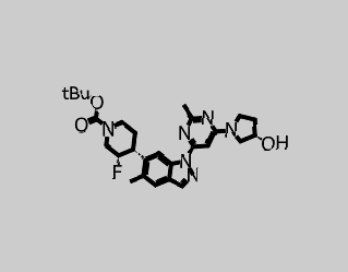 Cc1nc(N2CC[C@H](O)C2)cc(-n2ncc3cc(C)c([C@H]4CCN(C(=O)OC(C)(C)C)C[C@H]4F)cc32)n1